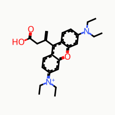 C=C(CC(=O)O)c1c2ccc(=[N+](CC)CC)cc-2oc2cc(N(CC)CC)ccc12